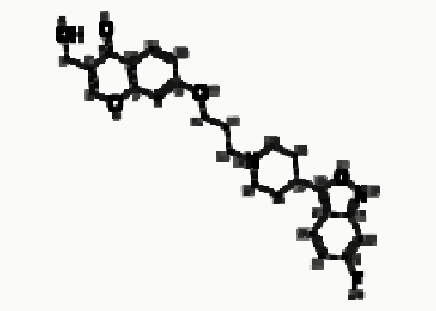 O=c1c(CO)coc2cc(OCCCN3CCC(c4onc5cc(F)ccc45)CC3)ccc12